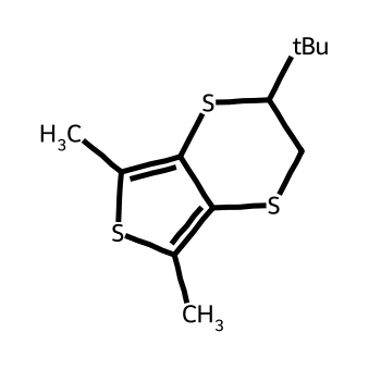 Cc1sc(C)c2c1SCC(C(C)(C)C)S2